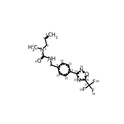 C=CCN(C)C(=O)NCc1ccc(-c2noc(C(F)(F)F)n2)cc1